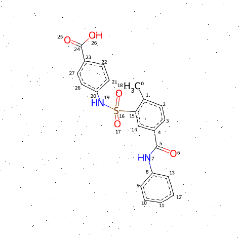 Cc1ccc(C(=O)Nc2ccccc2)cc1S(=O)(=O)Nc1ccc(C(=O)O)cc1